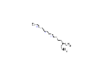 C=C(CN)CCC/C=C/C/C=C/C/C=C/CC